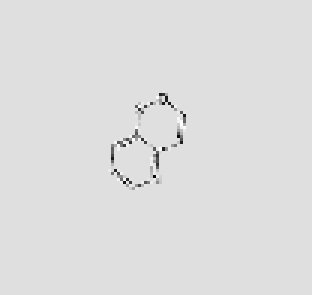 C1=Cc2ncccc2SO1